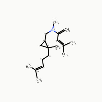 C=C(C=C(C)C)N(C)CC1CC1(C)CCC=C(C)C